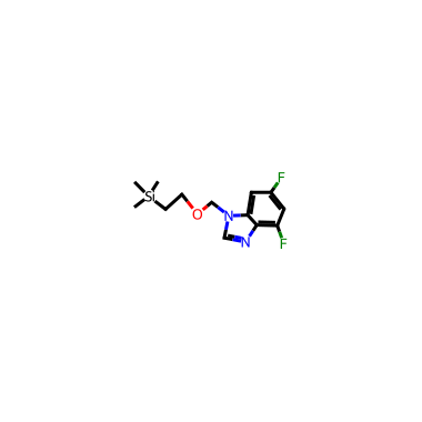 C[Si](C)(C)CCOCn1cnc2c(F)cc(F)cc21